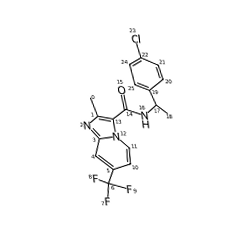 Cc1nc2cc(C(F)(F)F)ccn2c1C(=O)NC(C)c1ccc(Cl)cc1